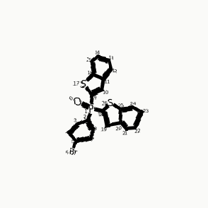 O=P(c1ccc(Br)cc1)(c1cc2ccccc2s1)c1cc2ccccc2s1